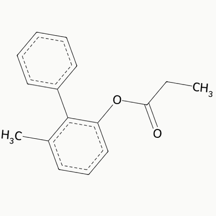 CCC(=O)Oc1cccc(C)c1-c1ccccc1